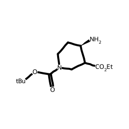 CCOC(=O)C1CN(C(=O)OC(C)(C)C)CC[C@H]1N